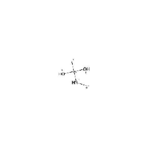 [CH2]NC(C)(O)O